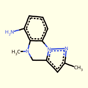 Cc1cc2n(n1)-c1cccc(N)c1N(C)C2